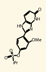 COc1cc(OS(=O)(=O)C(C)C)ccc1-c1nc2[nH]c(=O)ccc2[nH]1